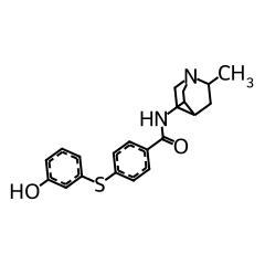 CC1CC2CCN1CC2NC(=O)c1ccc(Sc2cccc(O)c2)cc1